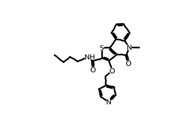 CCCCNC(=O)c1sc2c(c1OCc1ccncc1)c(=O)n(C)c1ccccc21